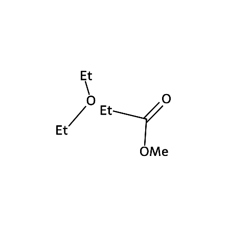 CCC(=O)OC.CCOCC